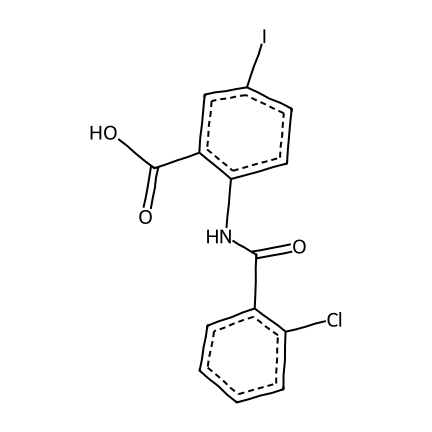 O=C(Nc1ccc(I)cc1C(=O)O)c1ccccc1Cl